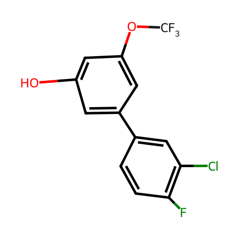 Oc1cc(OC(F)(F)F)cc(-c2ccc(F)c(Cl)c2)c1